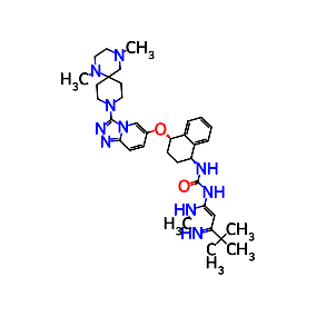 CN/C(=C\C(=N)C(C)(C)C)NC(=O)N[C@H]1CC[C@@H](Oc2ccc3nnc(N4CCC5(CC4)CN(C)CCN5C)n3c2)c2ccccc21